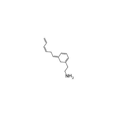 C=C/C=C\CC=C1C=CC=C(CCN)C1